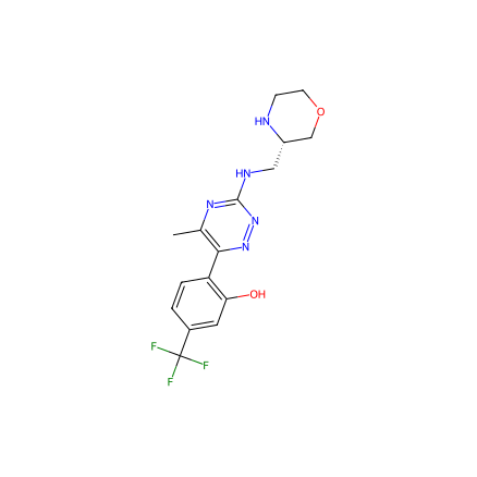 Cc1nc(NC[C@H]2COCCN2)nnc1-c1ccc(C(F)(F)F)cc1O